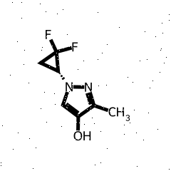 Cc1nn([C@@H]2CC2(F)F)cc1O